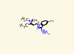 CC(CCn1nc(N)c2cc(Cl)ccc21)N(C)C